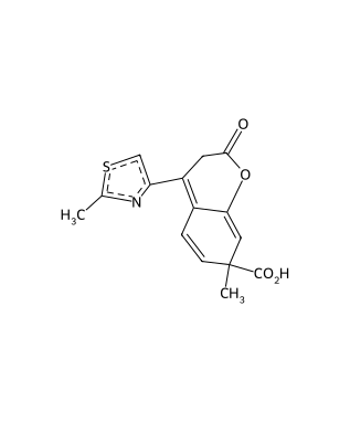 Cc1nc(C2=C3C=CC(C)(C(=O)O)C=C3OC(=O)C2)cs1